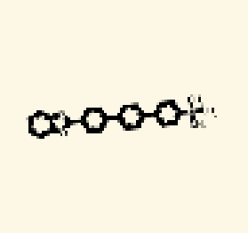 C[Si](C)(C)c1ccc(-c2ccc(-c3ccc(-c4nc5ccccc5o4)cc3)cc2)cc1